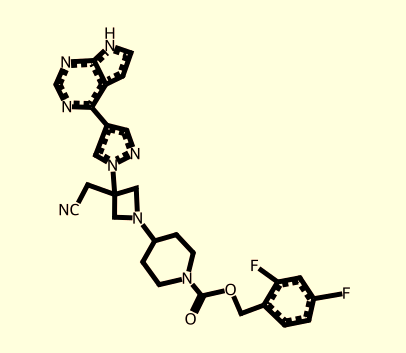 N#CCC1(n2cc(-c3ncnc4[nH]ccc34)cn2)CN(C2CCN(C(=O)OCc3ccc(F)cc3F)CC2)C1